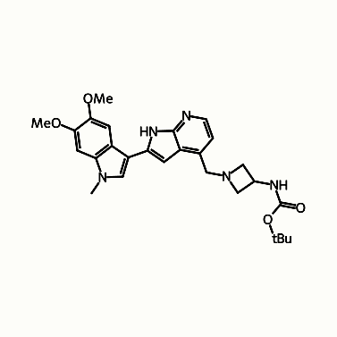 COc1cc2c(-c3cc4c(CN5CC(NC(=O)OC(C)(C)C)C5)ccnc4[nH]3)cn(C)c2cc1OC